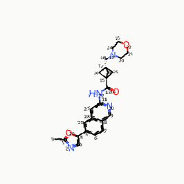 Cc1ncc(-c2ccc3cnc(NC(=O)[C@]45C[C@@](CN6CCOCC6)(C4)C5)cc3c2)o1